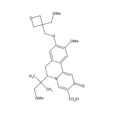 CCOC(=O)c1cn2c(cc1=O)-c1cc(OC)c(OCC3(COC)COC3)cc1CC2C(C)(C)COC